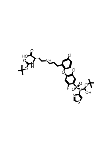 CC(C)(C)OC(=O)N[C@@H](CCNCCCc1cc(Cl)ccc1Oc1cc(F)c(S(=O)(=O)N(c2cscn2)C(O)OC(C)(C)C)cc1Cl)C(=O)O